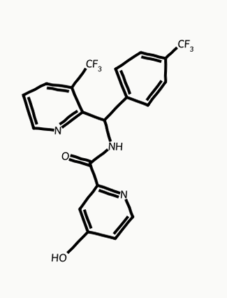 O=C(NC(c1ccc(C(F)(F)F)cc1)c1ncccc1C(F)(F)F)c1cc(O)ccn1